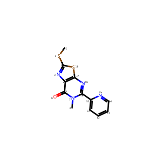 CSc1nc2c(=O)n(C)c(-c3ccccn3)nc2s1